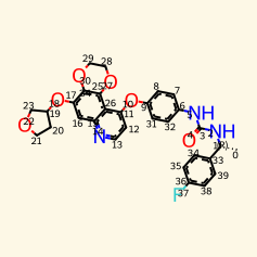 C[C@@H](NC(=O)Nc1ccc(Oc2ccnc3cc(OC4CCOC4)c4c(c23)OCCO4)cc1)c1ccc(F)cc1